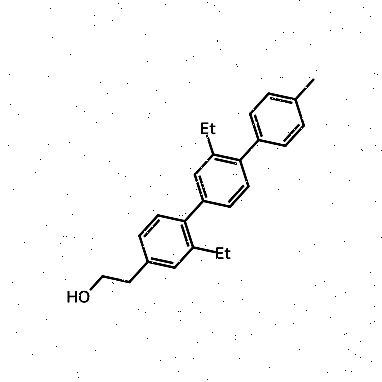 CCc1cc(CCO)ccc1-c1ccc(-c2ccc(C)cc2)c(CC)c1